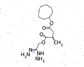 C=C(CC(=O)OC1CCCCCCC1)C(=O)OC/C(=N/N)NN